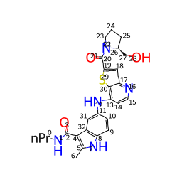 CCCNC(=O)c1c(C)[nH]c2ccc(Nc3ccnc4cc(C(=O)N5CCC[C@H]5CO)sc34)cc12